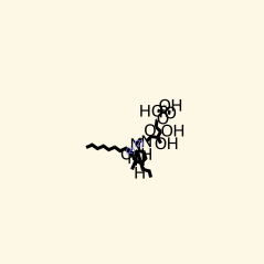 CCCCCCC/C=C1\N=C(C)C2(CCC)CCC1(/N=C\NC1OC(COP(=O)(O)O)C(O)C1O)C(=O)N2